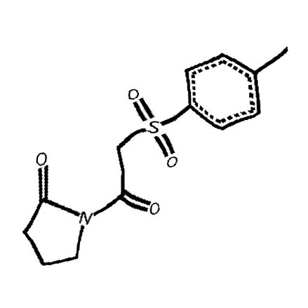 Cc1ccc(S(=O)(=O)CC(=O)N2CCCC2=O)cc1